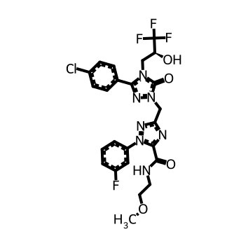 COCCNC(=O)c1nc(Cn2nc(-c3ccc(Cl)cc3)n(C[C@H](O)C(F)(F)F)c2=O)nn1-c1cccc(F)c1